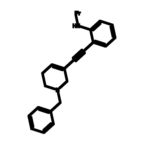 CC(C)Nc1ccccc1C#CC1=CCCN(Cc2ccccc2)C1